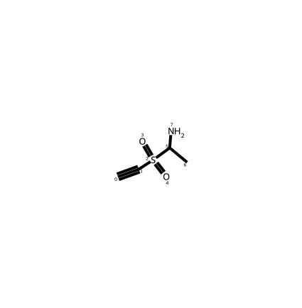 C#CS(=O)(=O)C(C)N